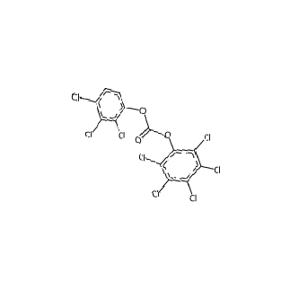 O=C(Oc1ccc(Cl)c(Cl)c1Cl)Oc1c(Cl)c(Cl)c(Cl)c(Cl)c1Cl